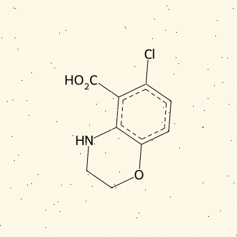 O=C(O)c1c(Cl)ccc2c1NCCO2